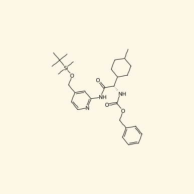 CC1CCC([C@H](NC(=O)OCc2ccccc2)C(=O)Nc2cc(CO[Si](C)(C)C(C)(C)C)ccn2)CC1